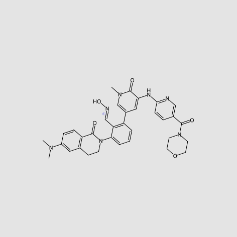 CN(C)c1ccc2c(c1)CCN(c1cccc(-c3cc(Nc4ccc(C(=O)N5CCOCC5)cn4)c(=O)n(C)c3)c1/C=N/O)C2=O